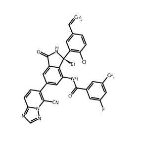 C=Cc1ccc(Cl)c([C@@]2(CC)NC(=O)c3cc(-c4ccc5ncnn5c4C#N)cc(NC(=O)c4cc(F)cc(C(F)(F)F)c4)c32)c1